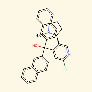 CN1CCC[C@H]1c1cnc(Cl)cc1C(O)(c1ccc2ccccc2c1)c1ccc2ccccc2c1